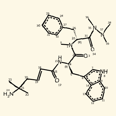 CN(C(=O)[C@@H](Cc1c[nH]c2ccccc12)NC(=O)C=CCC(C)(C)N)[C@H](Cc1ccccc1)C(=O)N(C)N(C)C